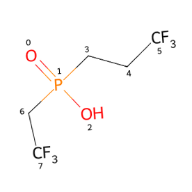 O=P(O)(CCC(F)(F)F)CC(F)(F)F